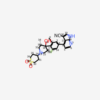 Cc1cc(-c2ccnc3[nH]cc(C#N)c23)cc(F)c1C1(O)[C@H](C)CN(C2CCS(=O)(=O)CC2)C[C@@H]1C